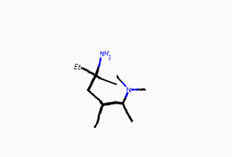 CCC(C)(N)CC(C)C(C)N(C)C